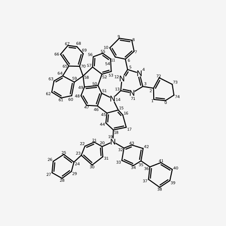 C1=CC(c2nc(-c3ccccc3)nc(-n3c4ccc(N(c5ccc(-c6ccccc6)cc5)c5ccc(-c6ccccc6)cc5)cc4c4ccc5c(c43)-c3ccccc3C53c4ccccc4-c4ccccc43)n2)=CCC1